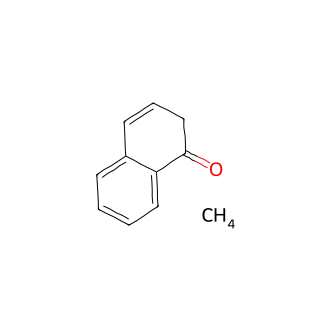 C.O=C1CC=Cc2ccccc21